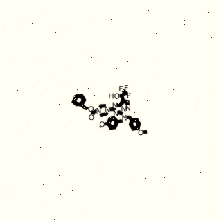 COc1ccc(CN(Cc2ccc(OC)cc2)c2nc(N3CCN(C(=O)OCc4ccccc4)CC3)nc3c(C(O)C(F)(F)F)cnn23)cc1